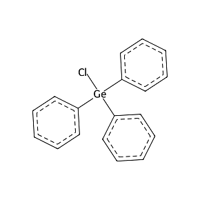 [Cl][Ge]([c]1ccccc1)([c]1ccccc1)[c]1ccccc1